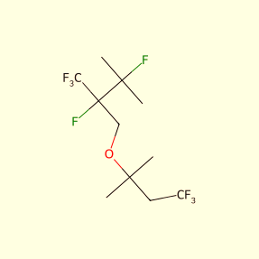 CC(C)(CC(F)(F)F)OCC(F)(C(C)(C)F)C(F)(F)F